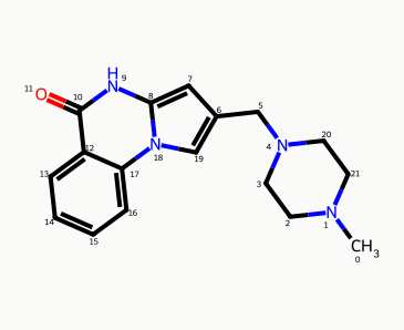 CN1CCN(Cc2cc3[nH]c(=O)c4ccccc4n3c2)CC1